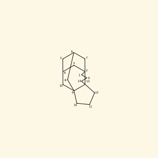 C1CC23CC4CC(C2)CC2(CCCC32C1)C4